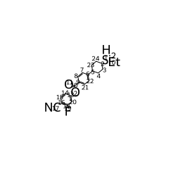 CC[SiH2]C1CCC(c2ccc(C(=O)Oc3ccc(C#N)c(F)c3)cc2)CC1